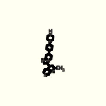 Cc1cc(-c2cnc3cc(-c4ccc(N5CCNCC5)cc4)ccn23)c2ccncc2n1